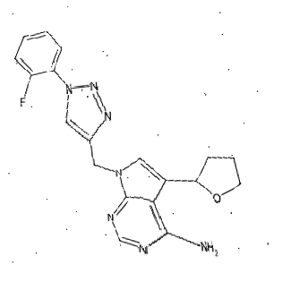 Nc1ncnc2c1c(C1CCCO1)cn2Cc1cn(-c2ccccc2F)nn1